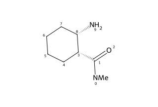 CNC(=O)[C@@H]1CCCC[C@@H]1N